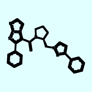 O=C(c1c(-c2ccccc2)nc2occn12)N1CCC[C@H]1Cn1ccc(-c2ccccc2)n1